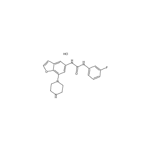 Cl.O=C(Nc1cccc(F)c1)Nc1cc(N2CCNCC2)c2occc2c1